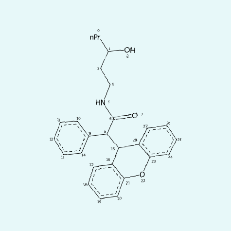 CCCC(O)CCNC(=O)C(c1ccccc1)C1c2ccccc2Oc2ccccc21